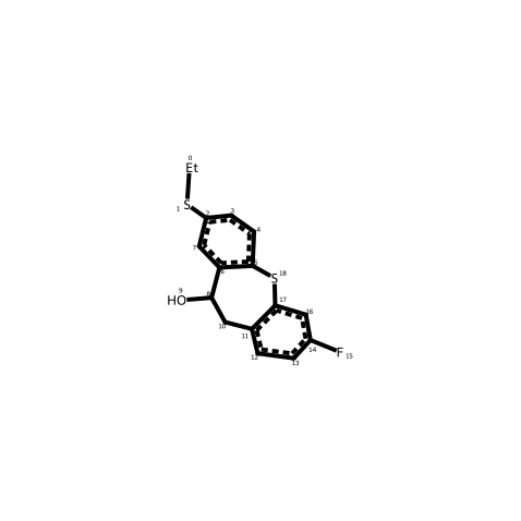 CCSc1ccc2c(c1)C(O)Cc1ccc(F)cc1S2